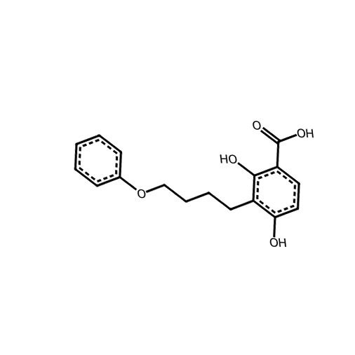 O=C(O)c1ccc(O)c(CCCCOc2ccccc2)c1O